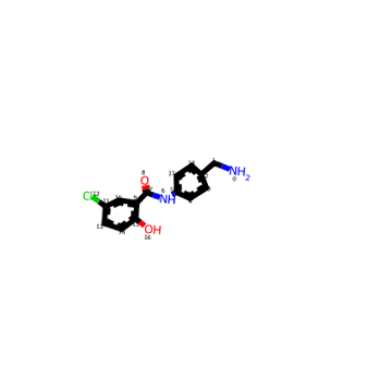 NCc1ccc(NC(=O)c2cc(Cl)ccc2O)cc1